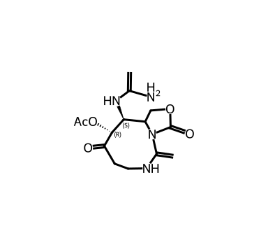 C=C(N)N[C@H]1C2COC(=O)N2C(=C)NCCC(=O)[C@@H]1OC(C)=O